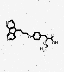 CCOC(Cc1ccc(OCCC=C2c3ccncc3-c3cnccc32)cc1)C(=O)O